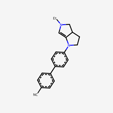 CCN1C=C2C(CCN2c2ccc(-c3ccc(C#N)cc3)cc2)C1